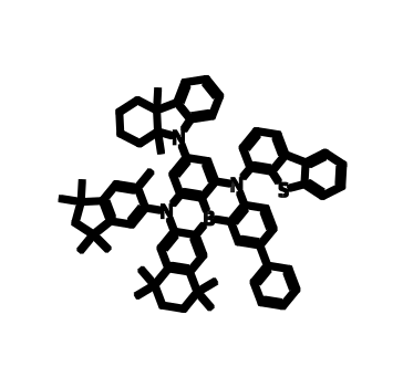 Cc1cc2c(cc1N1c3cc4c(cc3B3c5cc(-c6ccccc6)ccc5N(c5cccc6c5sc5ccccc56)c5cc(N6c7ccccc7C7(C)CCCCC67C)cc1c53)C(C)(C)CCC4(C)C)C(C)(C)CC2(C)C